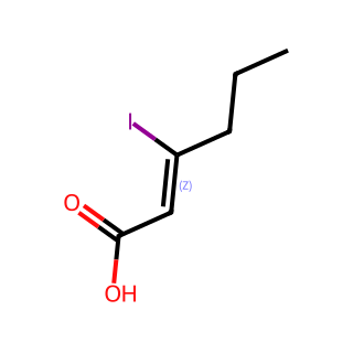 CCC/C(I)=C/C(=O)O